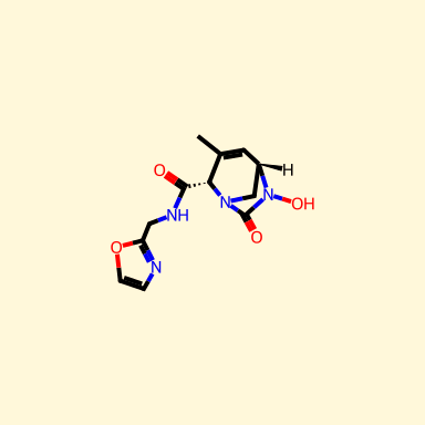 CC1=C[C@H]2CN(C(=O)N2O)[C@@H]1C(=O)NCc1ncco1